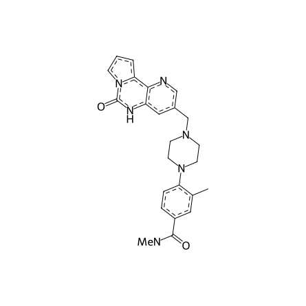 CNC(=O)c1ccc(N2CCN(Cc3cnc4c(c3)[nH]c(=O)n3cccc43)CC2)c(C)c1